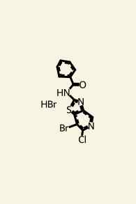 Br.O=C(Nc1nc2cnc(Cl)c(Br)c2s1)c1ccccc1